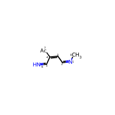 C/N=C\C=C(/C=N)C(C)=O